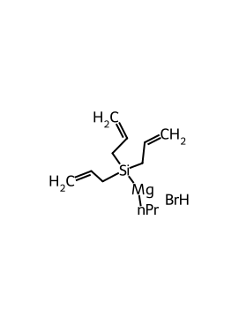 Br.C=CC[Si](CC=C)(CC=C)[Mg][CH2]CC